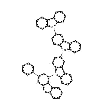 c1ccc(-c2cc(-n3c4ccccc4c4cc(-n5c6ccccc6c6cc(-n7c8ccccc8c8ccccc87)ccc65)ccc43)c3c(c2)sc2ccccc23)cc1